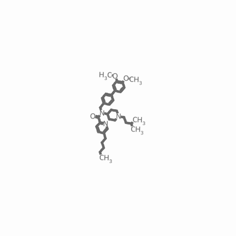 CCCCCc1ccc(C(=O)N(Cc2ccc(-c3ccc(OC)c(OC)c3)cc2)C2CCN(CCC(C)C)CC2)nc1